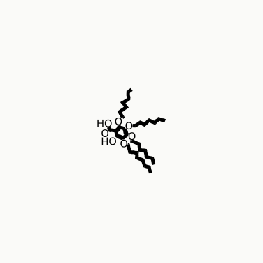 CCCCCCCCOc1c(O)c(C(=O)O)c(OCCCCCCC)c(OCCCCCCC)c1OCCCCCCC